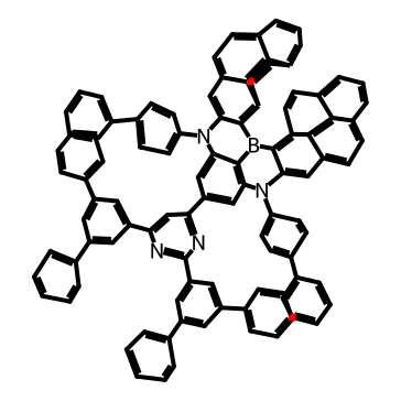 c1ccc(-c2ccc(N3c4cc(-c5cc(-c6cc(-c7ccccc7)cc(-c7ccccc7)c6)nc(-c6cc(-c7ccccc7)cc(-c7ccccc7)c6)n5)cc5c4B(c4c3cc3ccc6cccc7ccc4c3c67)c3c(cc4ccc6cccc7ccc3c4c67)N5c3ccc(-c4ccccc4)cc3)cc2)cc1